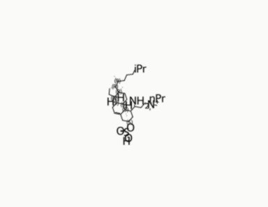 CCC[N+](C)(C)CCC(N)C1C[C@H](O[SH](=O)=O)CC2=CC[C@H]3[C@@H]4CC[C@H]([C@H](C)CCCC(C)C)[C@@]4(C)CC[C@@H]3[C@]21C